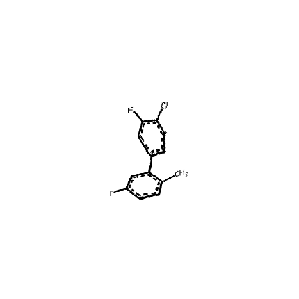 Cc1ccc(F)cc1-c1ccc(Cl)c(F)c1